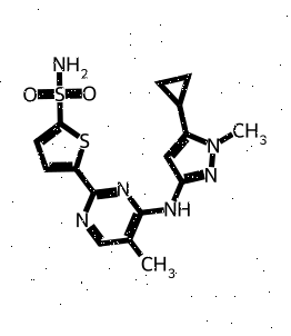 Cc1cnc(-c2ccc(S(N)(=O)=O)s2)nc1Nc1cc(C2CC2)n(C)n1